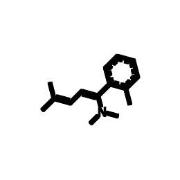 CC(C)=C/C=C(/c1ccccc1C)N(C)C